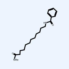 CNC(=O)CCCCCCCCCCCNC(=O)c1ccccc1